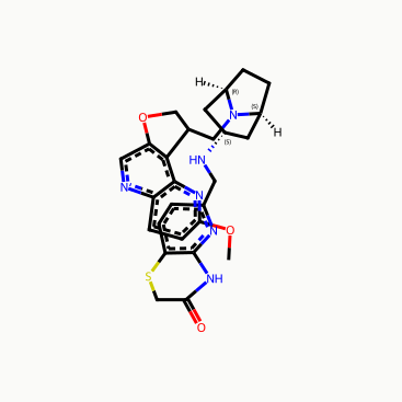 COc1ccc2ncc3c(c2n1)C(CN1[C@@H]2CC[C@H]1C[C@H](NCc1ccc4c(n1)NC(=O)CS4)C2)CO3